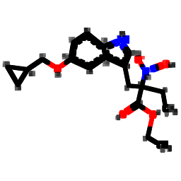 CCOC(=O)C(CC)(Cc1c[nH]c2ccc(OCC3CC3)cc12)[N+](=O)[O-]